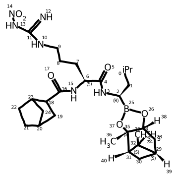 CC(C)C[C@H](NC(=O)[C@H](CCCNC(=N)N[N+](=O)[O-])NC(=O)C1CC2CCC1C2)B1O[C@@H]2C[C@@H]3C[C@@H](C3(C)C)[C@]2(C)O1